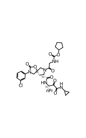 CCC[C@H](NC(=O)[C@@H]1C[C@@]2(CN(c3cccc(Cl)c3)C(=O)O2)CN1C(=O)CNC(=O)OC1CCCC1)C(=O)C(=O)NC1CC1